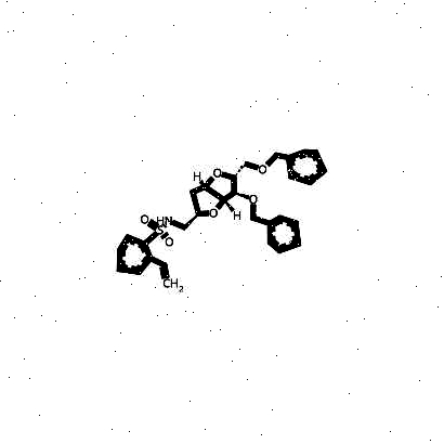 C=Cc1ccccc1S(=O)(=O)NC[C@H]1C[C@@H]2O[C@H](COCc3ccccc3)[C@@H](OCc3ccccc3)[C@@H]2O1